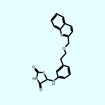 O=C1NC(=O)C(Nc2cccc(CCOCc3ccc4ccccc4n3)c2)S1